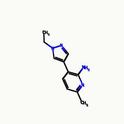 CCn1cc(-c2ccc(C)nc2N)cn1